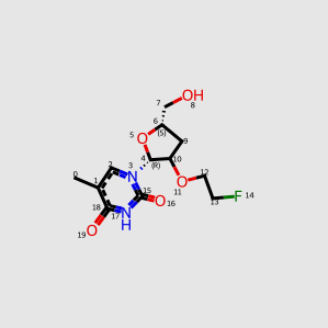 Cc1cn([C@@H]2O[C@H](CO)CC2OCCF)c(=O)[nH]c1=O